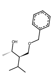 CC(C)[C@H](COCc1ccccc1)[C@H](C)O